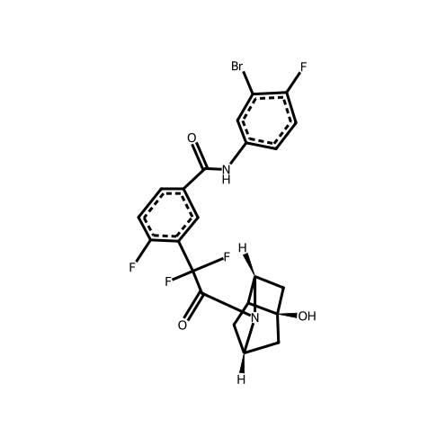 O=C(Nc1ccc(F)c(Br)c1)c1ccc(F)c(C(F)(F)C(=O)N2[C@H]3CC4[C@@H]2C[C@]4(O)C3)c1